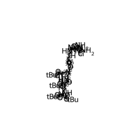 CC(C)(C)OC(=O)/N=C(\NCCCC[C@H](NC(=O)OC(C)(C)C)C(=O)NCCCN(CCCNC(=O)OC(C)(C)C)CCOc1ccc(CCCCNC(=N)NC(=O)c2nc(Cl)c(N)nc2N)cc1)NC(=O)OC(C)(C)C